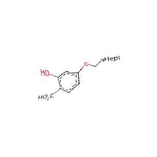 CCCCCCCCOc1ccc(C(=O)O)c(O)c1